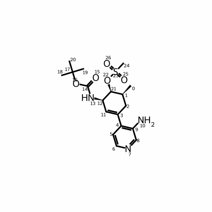 C[C@H]1CC(c2ccncc2N)=C[C@@H](NC(=O)OC(C)(C)C)[C@H]1OS(C)(=O)=O